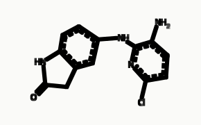 Nc1ccc(Cl)nc1Nc1ccc2c(c1)CC(=O)N2